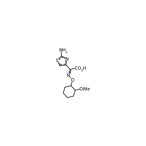 COC1CCCCC1O/N=C(\C(=O)O)c1csc(N)n1